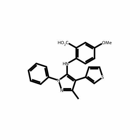 COc1ccc(Nc2c(-c3ccsc3)c(C)nn2-c2ccccc2)c(C(=O)O)c1